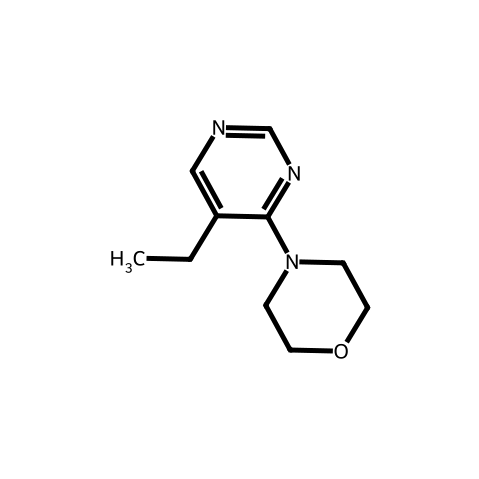 CCc1cncnc1N1CCOCC1